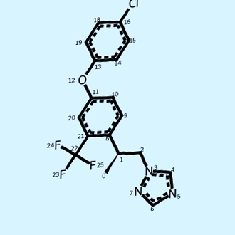 C[C@H](Cn1cncn1)c1ccc(Oc2ccc(Cl)cc2)cc1C(F)(F)F